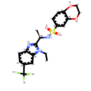 CCn1c([C@@H](C)NS(=O)(=O)c2ccc3c(c2)OCCO3)nc2ccc(C(F)(F)F)cc21